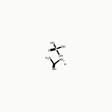 N=C(N)N.O=P(O)(O)O.[P]